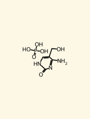 Nc1nc(=O)[nH]cc1CO.O=P(O)(O)O